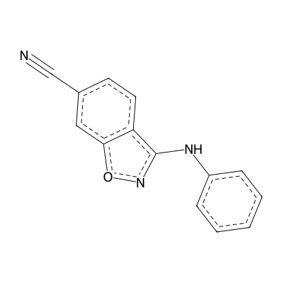 N#Cc1ccc2c(Nc3ccccc3)noc2c1